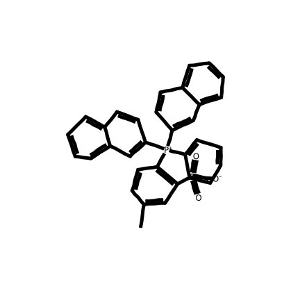 Cc1ccc([P+](c2ccccc2)(c2ccc3ccccc3c2)c2ccc3ccccc3c2)c(S(=O)(=O)[O-])c1